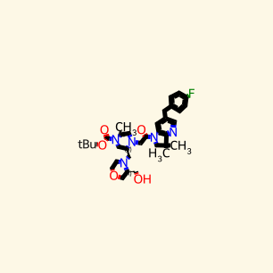 C[C@@H]1CN(CC(=O)N2CC(C)(C)c3ncc(Cc4ccc(F)cc4)cc32)[C@@H](CN2CCOC[C@H]2CO)CN1C(=O)OC(C)(C)C